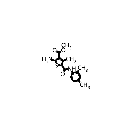 COC(=O)c1c(N)sc(C(=O)Nc2ccc(C)cc2C)c1C